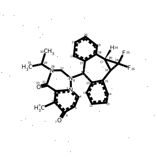 Cc1c2n(ccc1=O)N(C1c3ccccc3C3[C@H](c4ccccc41)C3(F)F)CN(C(C)C)C2=O